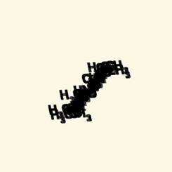 Cc1cc(NC(=O)c2ccc(C3=CCN(C(=O)OC(C)(C)C)CC3)c(Cl)c2)ccc1N1CCN(C(=O)OC(C)(C)C)CC1